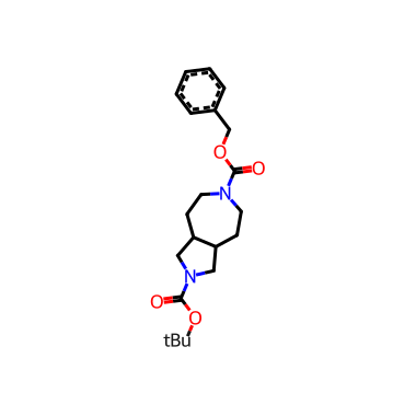 CC(C)(C)OC(=O)N1CC2CCN(C(=O)OCc3ccccc3)CCC2C1